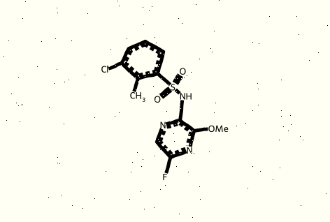 COc1nc(F)cnc1NS(=O)(=O)c1cccc(Cl)c1C